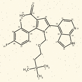 C[Si](C)(C)CCOCn1c(-c2ccnc3[nH]ccc23)cc(C(=O)O)c1-c1ccc(F)cc1F